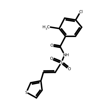 Cc1cc(Cl)ccc1C(=O)NS(=O)(=O)C=Cc1ccsc1